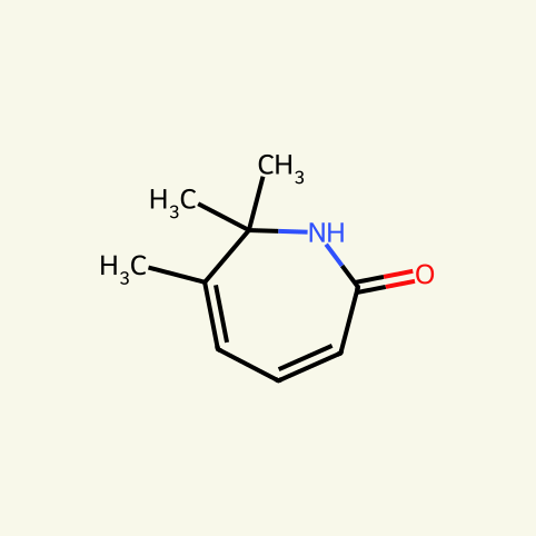 CC1=CC=CC(=O)NC1(C)C